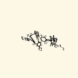 CCN1Cc2cc(Cl)ccc2-n2c(nnc2[C@H]2CC[C@H](c3noc(C)n3)CC2)C1